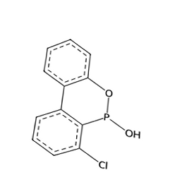 OP1Oc2ccccc2-c2cccc(Cl)c21